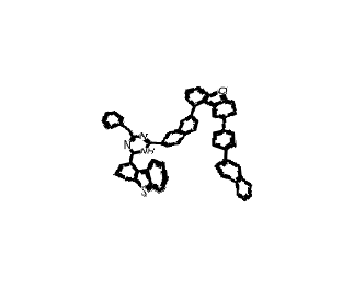 c1ccc(C2=NC(c3cccc4sc5ccccc5c34)NC(c3ccc4ccc(-c5cccc6oc7ccc(-c8ccc(-c9ccc%10ccccc%10c9)cc8)cc7c56)cc4c3)=N2)cc1